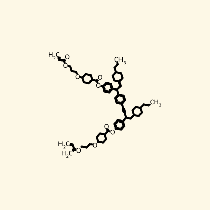 C=CC(=C)OCCCOC1CCC(C(=O)Oc2ccc(C(C#Cc3ccc(C(CC4CCC(CCC)CC4)c4ccc(OC(=O)C5CCC(OCCCOC(=O)C=C)CC5)cc4)cc3)CC3CCC(CCC)CC3)cc2)CC1